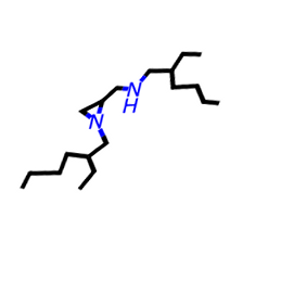 CCCCC(CC)CNCC1CN1CC(CC)CCCC